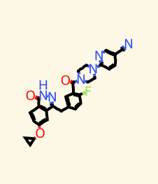 N#Cc1ccc(N2CCN(C(=O)c3cc(Cc4n[nH]c(=O)c5ccc(OC6CC6)cc45)ccc3F)CC2)nc1